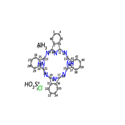 O=S(=O)(O)Cl.[AlH3].c1ccc2c(c1)-c1nc-2nc2[nH]c(nc3nc(nc4[nH]c(n1)c1ccccc41)-c1ccccc1-3)c1ccccc21